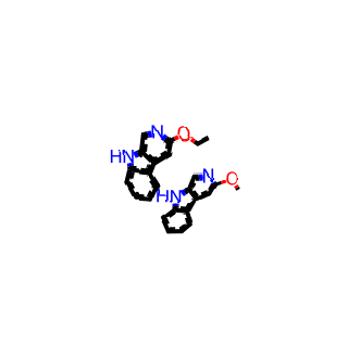 CCOc1cc2c(cn1)[nH]c1ccccc12.COc1cc2c(cn1)[nH]c1ccccc12